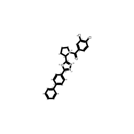 O=C(c1ccc(Cl)c(Cl)c1)N1CCCC1c1nnc(-c2ccc(-c3ccccc3)cc2)o1